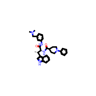 C[C@@H](c1c[nH]c2ccccc12)[C@@H](NC(=O)C1CCN(c2ccccc2)CC1)C(=O)Nc1cccc(CN(C)C)c1